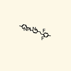 CC1=CC=C(CCc2ccc(CCc3c(F)cc(C)cc3F)cn2)NC1